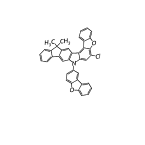 CC1(C)c2ccccc2-c2cc3c(cc21)c1c2c(oc4ccccc42)c(Cl)cc1n3-c1ccc2oc3ccccc3c2c1